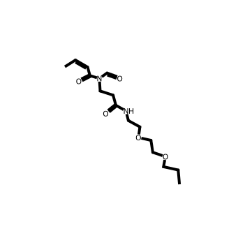 C/C=C\C(=O)N(C=O)CCC(=O)NCCOCCOCCC